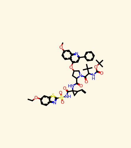 C=CC1CC1(NC(=O)C1CC(Oc2cc(-c3ccccc3)nc3cc(OC)ccc23)CN1C(=O)C(NC(=O)OC(C)(C)C)C(C)(C)C)C(=O)NS(=O)(=O)c1nc2ccc(OCC)cc2s1